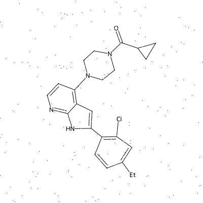 CCc1ccc(-c2cc3c(N4CCN(C(=O)C5CC5)CC4)ccnc3[nH]2)c(Cl)c1